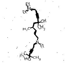 CCN(CC)CC#CC(C)(O)CC(C)CCCN(CC)CC#CC(C)(C)O